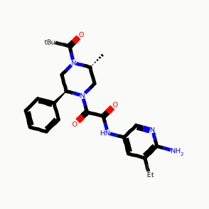 CCc1cc(NC(=O)C(=O)N2C[C@@H](C)N(C(=O)C(C)(C)C)C[C@@H]2c2ccccc2)cnc1N